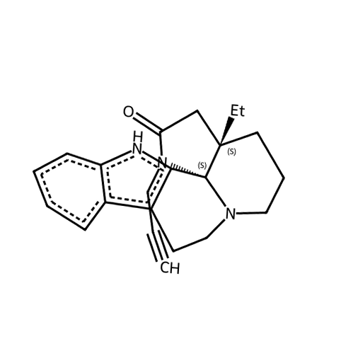 C#CCN1C(=O)C[C@]2(CC)CCCN3CCc4c([nH]c5ccccc45)[C@@]312